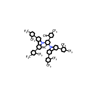 [C-]#[N+]c1cc(C(F)(F)F)ccc1-c1cc(-n2c3ccc(-c4ccc(C(F)(F)F)cc4C(F)(F)F)cc3c3cc(-c4ccc(C(F)(F)F)cc4C(F)(F)F)ccc32)c(C#N)c(-n2c3ccc(-c4ccc(C(F)(F)F)cc4C(F)(F)F)cc3c3cc(-c4ccc(C(F)(F)F)cc4C(F)(F)F)ccc32)c1